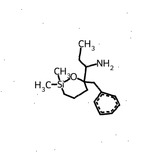 CCC(N)C1(Cc2ccccc2)CCC[Si](C)(C)O1